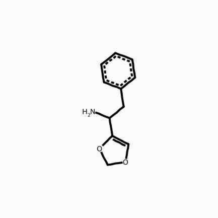 NC(Cc1ccccc1)C1=COCO1